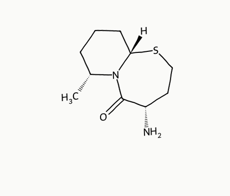 C[C@@H]1CCC[C@@H]2SCC[C@H](N)C(=O)N12